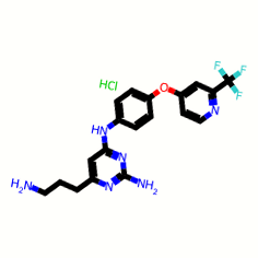 Cl.NCCCc1cc(Nc2ccc(Oc3ccnc(C(F)(F)F)c3)cc2)nc(N)n1